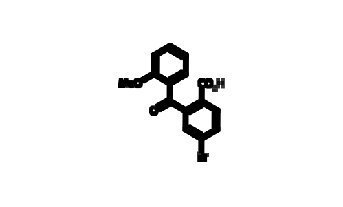 COc1ccccc1C(=O)c1cc(Br)ccc1C(=O)O